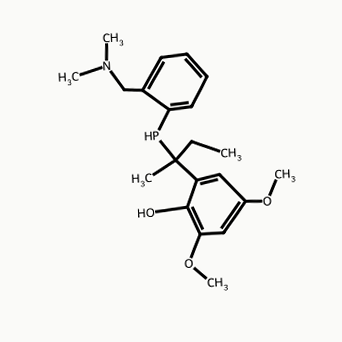 CCC(C)(Pc1ccccc1CN(C)C)c1cc(OC)cc(OC)c1O